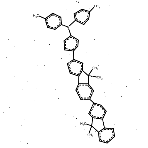 Cc1ccc(N(c2ccc(C)cc2)c2ccc(-c3ccc4c(c3)C(C)(C)c3cc(-c5ccc6c(c5)C(C)(C)c5ccccc5-6)ccc3-4)cc2)cc1